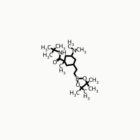 CN(C)C1CC(CCB2OC(C)(C)C(C)(C)O2)CC(C)(C(=O)NC(C)(C)C)C1